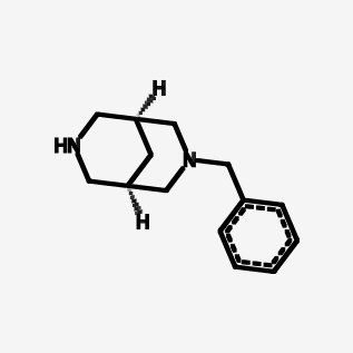 c1ccc(CN2C[C@@H]3CNC[C@@H](C3)C2)cc1